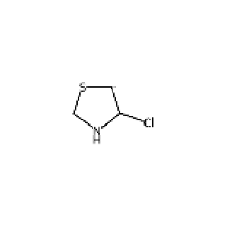 ClC1[CH]SCN1